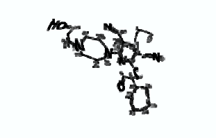 CCc1c(C#N)c(SC(C=O)c2ccccc2)nc(N2CCCN(CCO)CC2)c1C#N